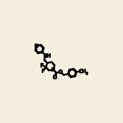 Cc1ccc(COC(=O)N2CC[C@H](CNc3ccncc3)C(F)(F)C2)cc1